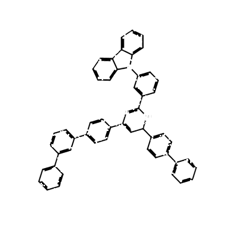 C1=C(c2ccc(-c3cccc(-c4ccccc4)c3)cc2)N=C(c2cccc(-n3c4ccccc4c4ccccc43)c2)NC1c1ccc(-c2ccccc2)cc1